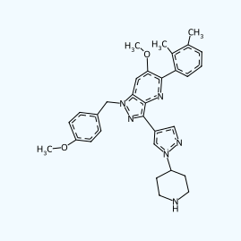 COc1ccc(Cn2nc(-c3cnn(C4CCNCC4)c3)c3nc(-c4cccc(C)c4C)c(OC)cc32)cc1